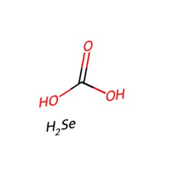 O=C(O)O.[SeH2]